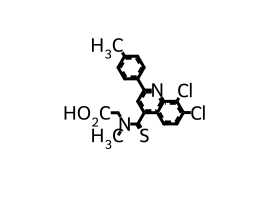 Cc1ccc(-c2cc(C(=S)N(C)CC(=O)O)c3ccc(Cl)c(Cl)c3n2)cc1